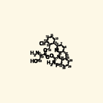 NC(=O)N(c1cccc(-c2cccc(Cl)c2COC(=O)[C@@H](N)CO)n1)c1c(F)cccc1F